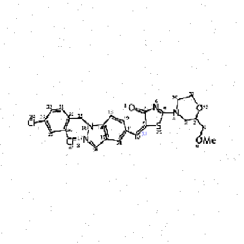 COCC1CN(C2=NC(=O)/C(=C\c3ccc4c(cnn4Cc4ccc(Cl)cc4C(F)(F)F)c3)S2)CCO1